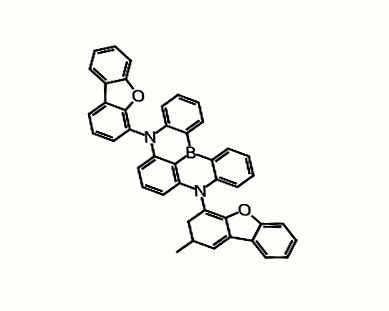 CC1C=c2c(oc3ccccc23)=C(N2c3ccccc3B3c4ccccc4N(c4cccc5c4oc4ccccc45)c4cccc2c43)C1